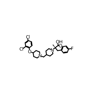 C[C@](Cc1ccc(F)cc1)(C(=O)O)N1CCC(CN2CCC(Oc3ccc(Cl)cc3Cl)CC2)CC1